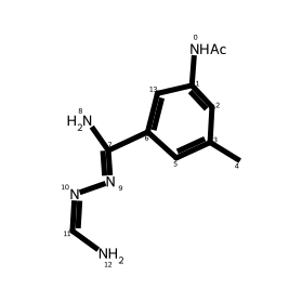 CC(=O)Nc1cc(C)cc(/C(N)=N/N=C\N)c1